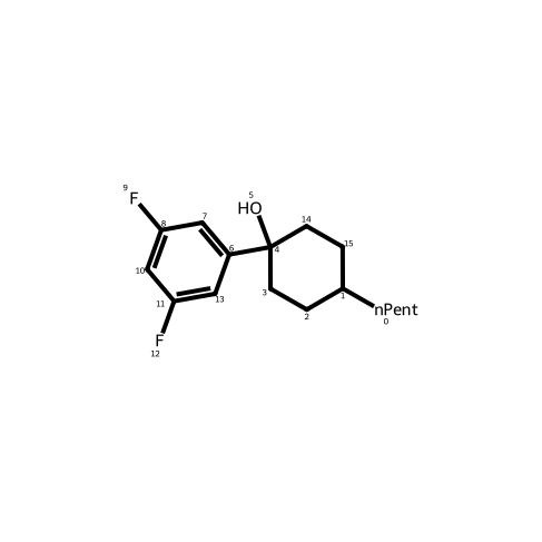 CCCCCC1CCC(O)(c2cc(F)cc(F)c2)CC1